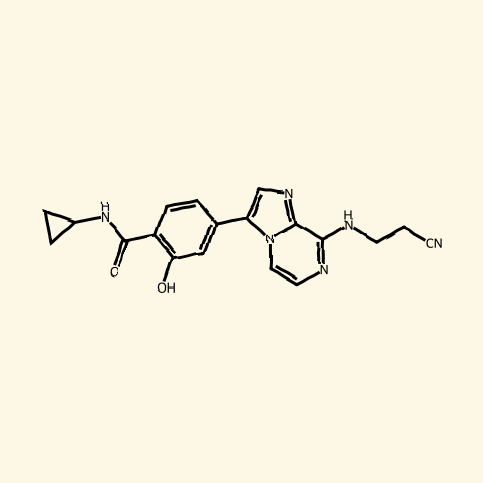 N#CCCNc1nccn2c(-c3ccc(C(=O)NC4CC4)c(O)c3)cnc12